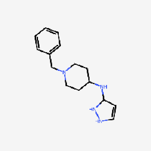 C1=CC(NC2CCN(Cc3ccccc3)CC2)NN1